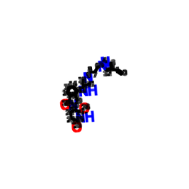 C#Cc1cnn(CCCN2CC(Nc3cccc4c3CN(C3CCC(=O)NC3=O)C4=O)C2)c1